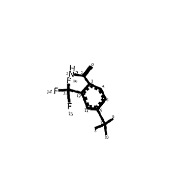 C=C(N)c1ccc(C(C)(C)C)cc1C(F)(F)F